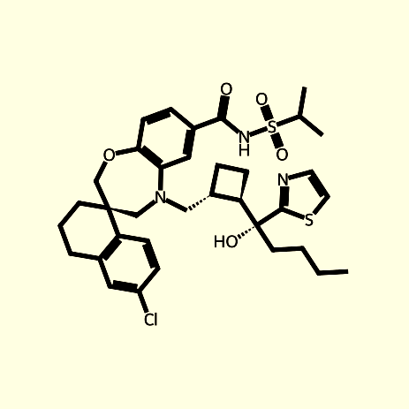 CCCC[C@](O)(c1nccs1)[C@@H]1CC[C@H]1CN1C[C@@]2(CCCc3cc(Cl)ccc32)COc2ccc(C(=O)NS(=O)(=O)C(C)C)cc21